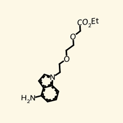 CCOC(=O)COCCOCCn1ccc2c(N)cccc21